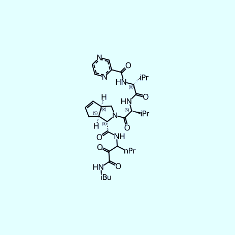 CCCC(NC(=O)[C@@H]1[C@H]2CC=C[C@H]2CN1C(=O)[C@@H](NC(=O)[C@H](NC(=O)c1cnccn1)C(C)C)C(C)C)C(=O)C(=O)NC(C)CC